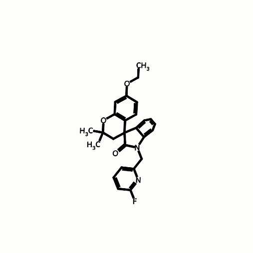 CCOc1ccc2c(c1)OC(C)(C)CC21C(=O)N(Cc2cccc(F)n2)c2ccccc21